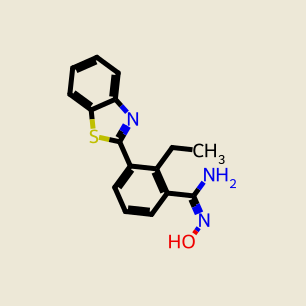 CCc1c(/C(N)=N\O)cccc1-c1nc2ccccc2s1